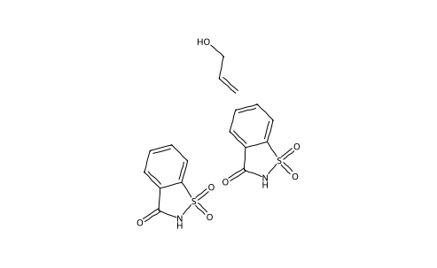 C=CCO.O=C1NS(=O)(=O)c2ccccc21.O=C1NS(=O)(=O)c2ccccc21